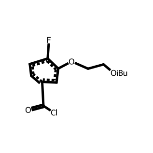 CC(C)COCCOc1cc(C(=O)Cl)ccc1F